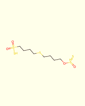 O=[SH](=S)OCCCCSCCCCS(=O)(=O)S